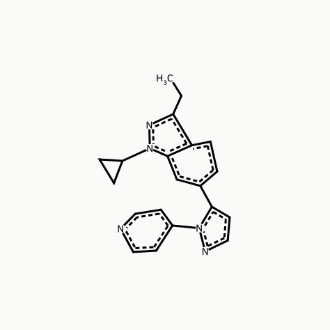 CCc1nn(C2CC2)c2cc(-c3ccnn3-c3ccncc3)ccc12